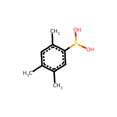 Cc1cc(C)c(P(O)O)cc1C